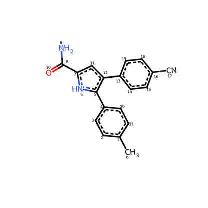 Cc1ccc(-c2[nH]c(C(N)=O)cc2-c2ccc(C#N)cc2)cc1